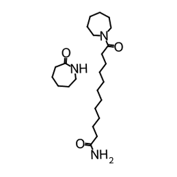 NC(=O)CCCCCCCCCCC(=O)N1CCCCCC1.O=C1CCCCCN1